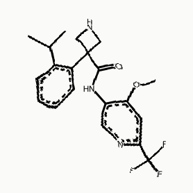 COc1cc(C(F)(F)F)ncc1NC(=O)C1(c2ccccc2C(C)C)CNC1